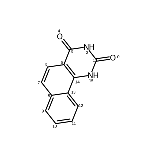 O=c1[nH]c(=O)c2ccc3ccccc3c2[nH]1